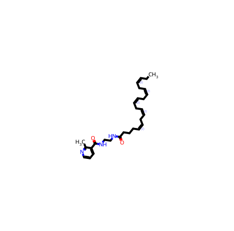 CC/C=C\C/C=C\C/C=C\C/C=C\C/C=C\CCCC(=O)NCCNC(=O)c1cccnc1C